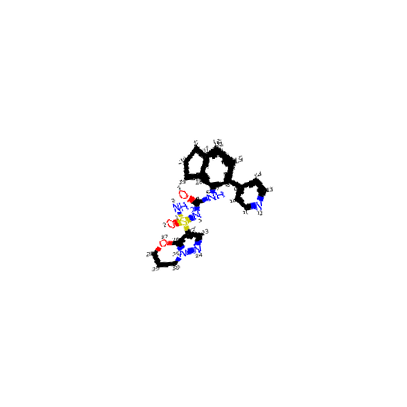 NS(=O)(=NC(=O)Nc1c(-c2ccncc2)ccc2c1CCC2)c1cnn2c1OCCC2